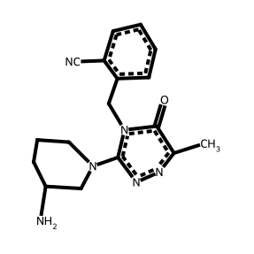 Cc1nnc(N2CCCC(N)C2)n(Cc2ccccc2C#N)c1=O